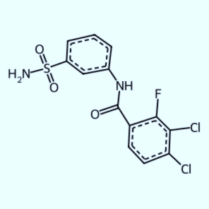 NS(=O)(=O)c1cccc(NC(=O)c2ccc(Cl)c(Cl)c2F)c1